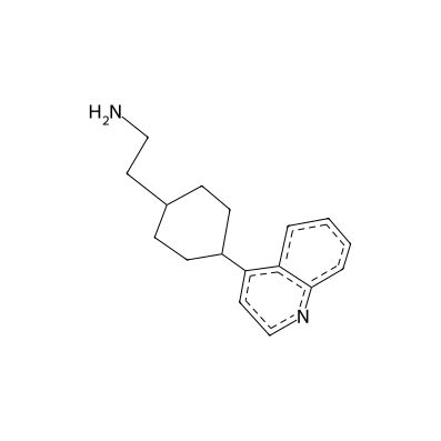 NCCC1CCC(c2ccnc3ccccc23)CC1